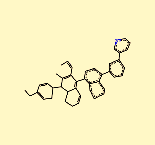 C/C=C\C1=C(C)C(C2C=CC(CC)=CC2)C2CCC=CC2=C1c1ccc(-c2cccc(-c3cccnc3)c2)c2ccccc12